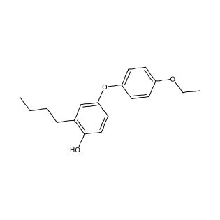 CCCCc1cc(Oc2ccc(OCC)cc2)ccc1O